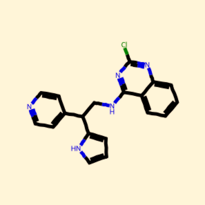 Clc1nc(NCC(c2ccncc2)c2ccc[nH]2)c2ccccc2n1